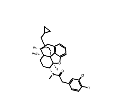 CC(=O)O[C@@]12CC[C@@H](N(C)C(=O)Cc3ccc(Cl)c(Cl)c3)[C@@H]3Oc4cccc5c4[C@@]31CCN(CC1CC1)[C@@H]2C5